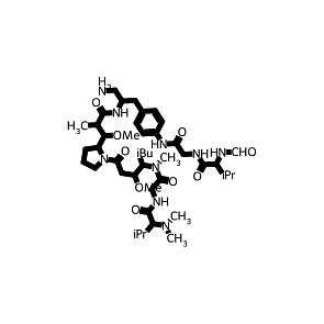 CCC(C)C(C(CC(=O)N1CCCC1C(OC)C(C)C(=O)NC(CN)Cc1ccc(NC(=O)CNC(=O)C(NC=O)C(C)C)cc1)OC)N(C)C(=O)CNC(=O)C(C(C)C)N(C)C